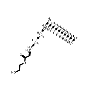 C=C.C=C.C=C.C=C.C=C.C=C.C=C.C=C.C=C.C=C.C=C.C=C.C=C.C=CC(=O)OCCO